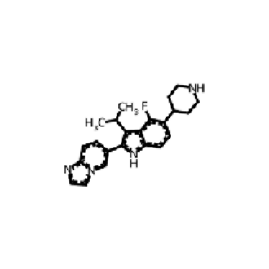 CC(C)c1c(-c2ccc3nccn3c2)[nH]c2ccc(C3CCNCC3)c(F)c12